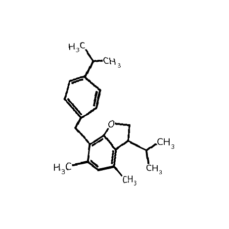 Cc1cc(C)c2c(c1Cc1ccc(C(C)C)cc1)OCC2C(C)C